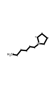 CCCCCCN1CCCC1